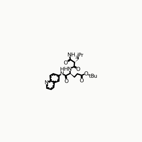 CC(C)C[C@@H](C(N)=O)C(=O)N[C@@H](CCC(=O)OC(C)(C)C)C(=O)Nc1ccc2ncccc2c1